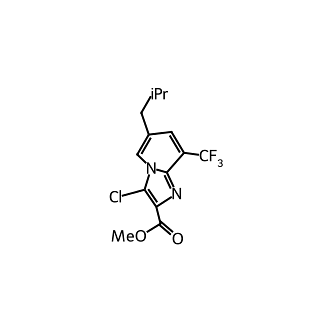 COC(=O)c1nc2c(C(F)(F)F)cc(CC(C)C)cn2c1Cl